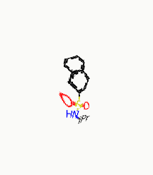 CC(C)NS(=O)(=O)c1ccc2ccccc2c1